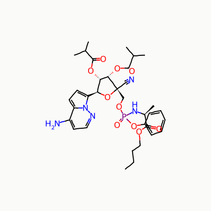 CCCCOC(=O)[C@H](C)NP(=O)(OC[C@@]1(C#N)O[C@@H](c2ccc3c(N)ccnn23)[C@H](OC(=O)C(C)C)[C@@H]1OC(=O)C(C)C)Oc1ccccc1